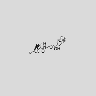 Cc1nn2cc(C3CC3)cnc2c1C(=O)NCCOC[C@@H](O)c1ccc(C(F)(F)F)nc1